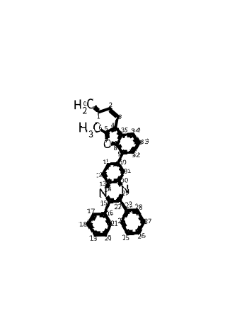 C=C/C=C\c1c(C)oc2c(-c3ccc4nc(-c5ccccc5)c(-c5ccccc5)nc4c3)cccc12